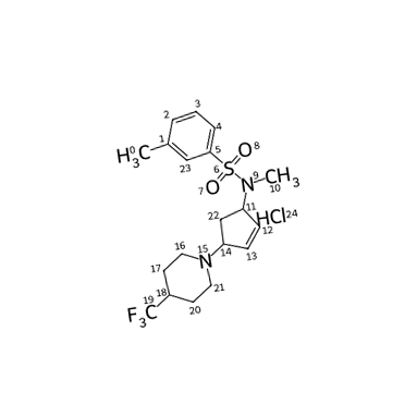 Cc1cccc(S(=O)(=O)N(C)C2C=CC(N3CCC(C(F)(F)F)CC3)C2)c1.Cl